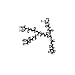 O=C(CCC(=O)OCC(COC(=O)CCC(=O)OC(CO)CO)OC(=O)CCC(=O)OC(COC(=O)CCC(=O)OC(CO)CO)COC(=O)CCC(=O)OC(CO)CO)CC(CO)CO